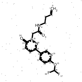 C=CCCNC(=O)Cn1nc(-c2ccc(OC(F)F)nc2)ccc1=O